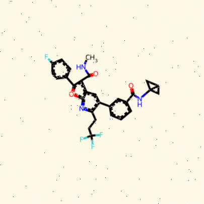 CNC(=O)c1c(-c2ccc(F)cc2)oc2nc(CCC(F)(F)F)c(-c3cccc(C(=O)NC45CC4C5)c3)cc12